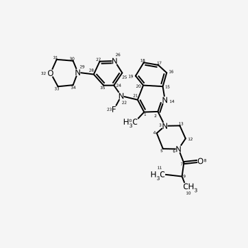 Cc1c(N2CCN(C(=O)C(C)C)CC2)nc2ccccc2c1N(F)c1cncc(N2CCOCC2)c1